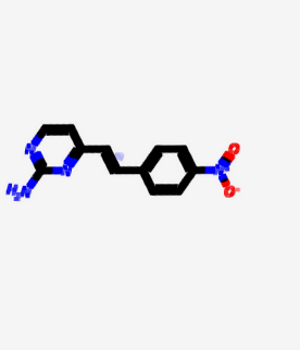 Nc1nccc(/C=C/c2ccc([N+](=O)[O-])cc2)n1